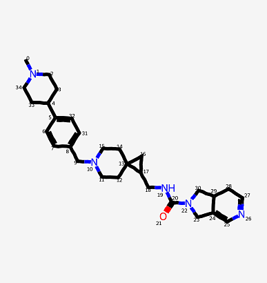 CN1CCC(c2ccc(CN3CCC4(CC3)CC4CNC(=O)N3CC4=CN=CCC4C3)cc2)CC1